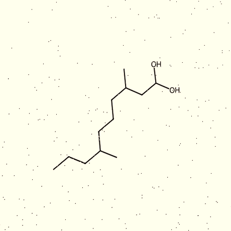 CCCC(C)CCCC(C)CC(O)O